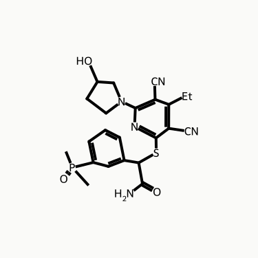 CCc1c(C#N)c(SC(C(N)=O)c2cccc(P(C)(C)=O)c2)nc(N2CCC(O)C2)c1C#N